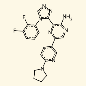 Nc1ncc(-c2ccc(N3CCCC3)nc2)nc1-c1nncn1-c1cccc(F)c1F